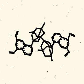 C=Cc1cc(C=C)c2cccc(C34CC5(C)CC(C)(C3)CC(C36CC7(C)CC(C)(CC(c8cccc9c(C=C)cc(C=C)cc89)(C7)C3)C6)(C5)C4)c2c1